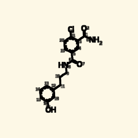 NC(=O)c1cc(C(=O)NCCCc2cccc(O)c2)ccc1Cl